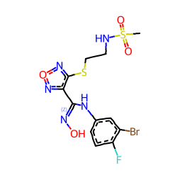 CS(=O)(=O)NCCSc1nonc1/C(=N/O)Nc1ccc(F)c(Br)c1